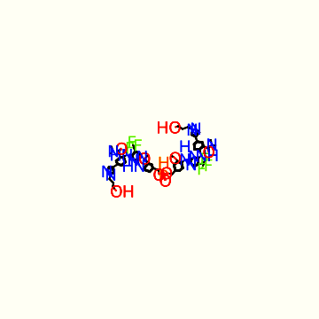 COc1cc(CO[PH](=O)OCc2ccc(Nc3ncc(C(F)(F)F)c(Nc4ccc(-c5cnn(CCCO)c5)cc4C(=O)N(C)C)n3)c(OC)c2)ccc1Nc1ncc(C(F)(F)F)c(Nc2ccc(-c3cnn(CCCO)c3)cc2C(=O)N(C)C)n1